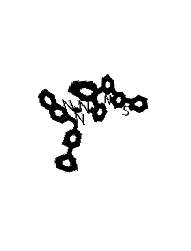 c1ccc(-c2ccc(-c3nc(-n4c5cccc6c7cccc8c9cc%10c(cc9n(c9cccc4c9c65)c78)sc4ccccc4%10)nc4c3ccc3ccccc34)cc2)cc1